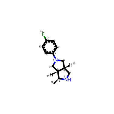 C[C@@H]1NC[C@H]2CN(c3ccc(F)cc3)C[C@H]21